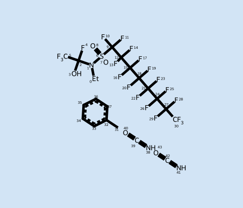 CCN(C(O)(F)C(F)(F)F)S(=O)(=O)C(F)(F)C(F)(F)C(F)(F)C(F)(F)C(F)(F)C(F)(F)C(F)(F)C(F)(F)F.Cc1ccccc1.N=C=O.N=C=O